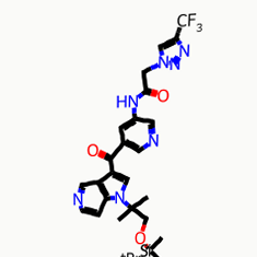 CC(C)(CO[Si](C)(C)C(C)(C)C)n1cc(C(=O)c2cncc(NC(=O)Cn3cc(C(F)(F)F)nn3)c2)c2cnccc21